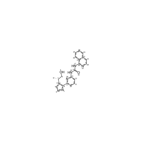 C[C@H](CO)n1cnnc1-c1cccc(NC(=O)Nc2nccc3ccccc23)n1